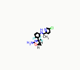 C[C@H](Nc1ccc(F)c([C@@]2(C(F)F)N=C(N)O[C@@H]3C[C@@H]32)c1)c1ccc(Cl)cn1